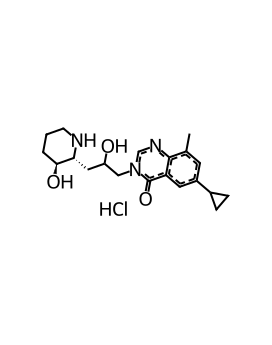 Cc1cc(C2CC2)cc2c(=O)n(CC(O)C[C@H]3NCCC[C@@H]3O)cnc12.Cl